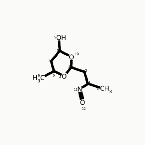 CC(CC1OC(C)CC(O)O1)N=O